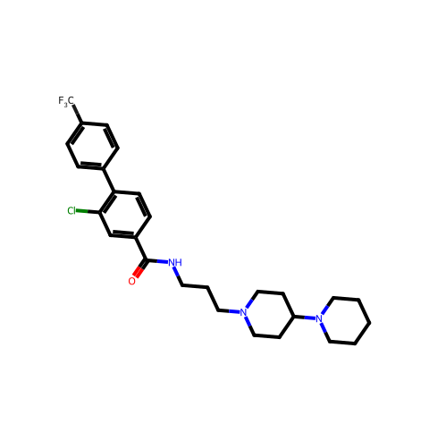 O=C(NCCCN1CCC(N2CCCCC2)CC1)c1ccc(-c2ccc(C(F)(F)F)cc2)c(Cl)c1